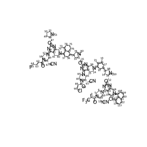 C=C(C(=O)N1CCN(c2nc(OC[C@@H]3CC(c4cc(C)c(C)c(N5CCc6c(nc(OC[C@@H]7CC(c8ccc(N9CCc%10c(nc(OC[C@@H]%11CCCN%11C)nc%10N%10CCN(C(=O)/C=C/CF)[C@@H](CC#N)C%10)C9)c9c(C)cccc89)CN7C)nc6N6CCN(C(=O)/C=C\Cl)[C@@H](CC#N)C6)C5)c4)CN3C)nc3c2CCN(c2cccc4cccc(Cl)c24)C3)C[C@@H]1CC#N)C(F)(F)F